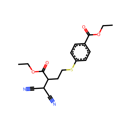 CCOC(=O)c1ccc(SCCC(C(=O)OCC)C(C#N)C#N)cc1